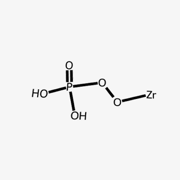 O=P(O)(O)O[O][Zr]